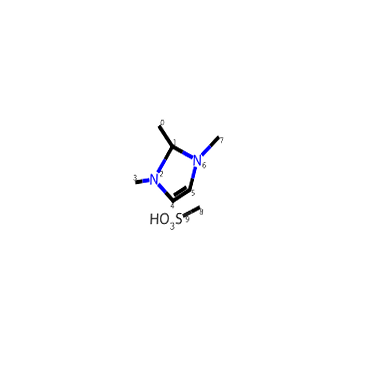 CC1N(C)C=CN1C.CS(=O)(=O)O